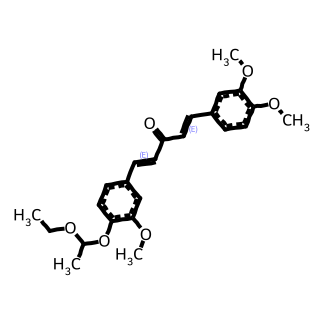 CCOC(C)Oc1ccc(/C=C/C(=O)/C=C/c2ccc(OC)c(OC)c2)cc1OC